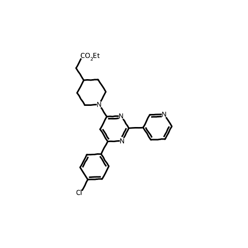 CCOC(=O)CC1CCN(c2cc(-c3ccc(Cl)cc3)nc(-c3cccnc3)n2)CC1